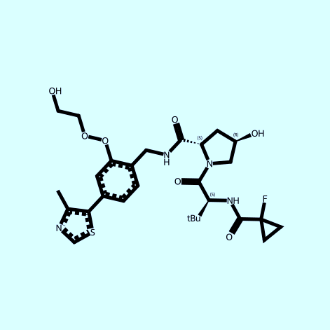 Cc1ncsc1-c1ccc(CNC(=O)[C@@H]2C[C@@H](O)CN2C(=O)[C@@H](NC(=O)C2(F)CC2)C(C)(C)C)c(OOCCO)c1